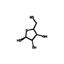 OCC1O[C@H](O)C(O)C1O